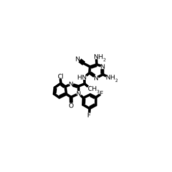 CC(Nc1nc(N)nc(N)c1C#N)c1nc2c(Cl)cccc2c(=O)n1-c1cc(F)cc(F)c1